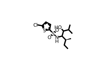 CC[C@H](C)C(NS(=O)(=O)c1ccc(Cl)s1)C(O)C(C)C